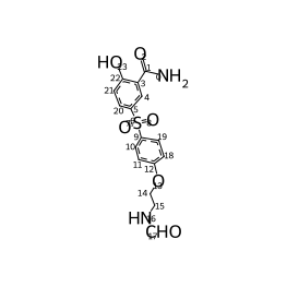 NC(=O)c1cc(S(=O)(=O)c2ccc(OCCNC=O)cc2)ccc1O